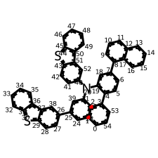 c1ccc(-c2ccc(-c3cccc4ccccc34)cc2N(c2cccc(-c3ccc4sc5ccccc5c4c3)c2)c2ccc3sc4ccccc4c3c2)cc1